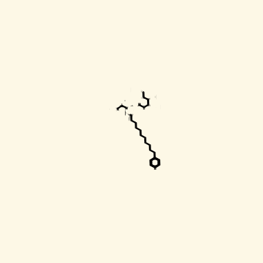 C[C@@H](O)[C@@H](O)[C@H](CO[C@H]1OC(CO)[C@@H](O)C(O)C1O)NC(=O)CCCCCCCCCCc1ccc(F)cc1